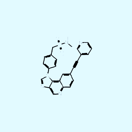 CNS(=O)(=O)Cc1ccc(-n2cnc3cnc4ccc(C#Cc5cccnc5)cc4c32)cc1